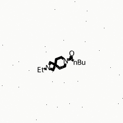 CCCCC(=O)N1CCC2(CC1)CN(CC)C2